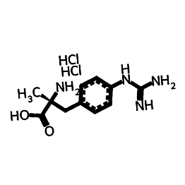 C[C@@](N)(Cc1ccc(NC(=N)N)cc1)C(=O)O.Cl.Cl